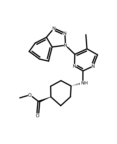 COC(=O)[C@H]1CC[C@H](Nc2ncc(C)c(-n3nnc4ccccc43)n2)CC1